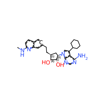 CNc1ccc2ccc(CC[C@H]3C[C@@H](n4cc(C5CCCCC5)c5c(N)ncnc54)[C@H](O)[C@@H]3O)cc2n1